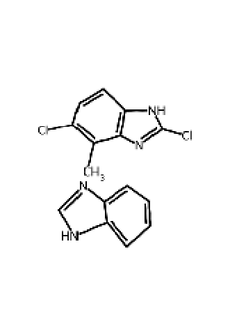 Cc1c(Cl)ccc2[nH]c(Cl)nc12.c1ccc2[nH]cnc2c1